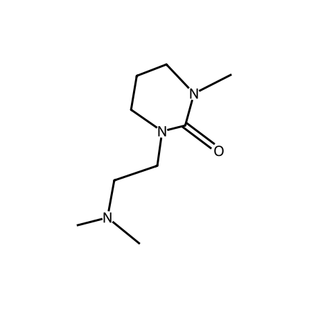 CN(C)CCN1CCCN(C)C1=O